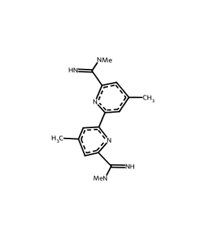 CNC(=N)c1cc(C)cc(-c2cc(C)cc(C(=N)NC)n2)n1